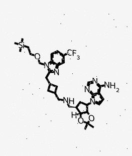 CC1(C)OC2C(n3ccc4c(N)ncnc43)C[C@H](CNCC3CC(Cc4nc5cc(C(F)(F)F)ccc5n4COCC[Si](C)(C)C)C3)[C@H]2O1